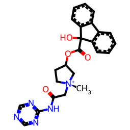 C[N@@+]1(CC(=O)Nc2ncncn2)CCC(OC(=O)C2(O)c3ccccc3-c3ccccc32)C1